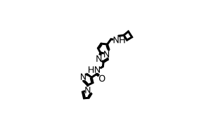 O=C(NCc1cn2cc(CNCC3CCC3)ccc2n1)c1cncc(-n2cccc2)c1